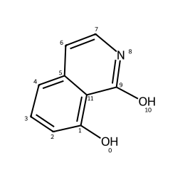 Oc1cccc2ccnc(O)c12